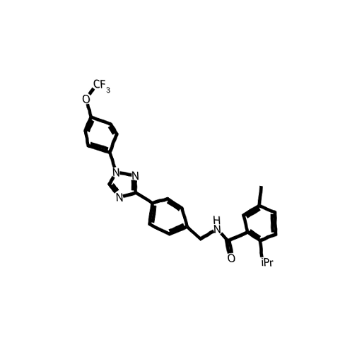 Cc1ccc(C(C)C)c(C(=O)NCc2ccc(-c3ncn(-c4ccc(OC(F)(F)F)cc4)n3)cc2)c1